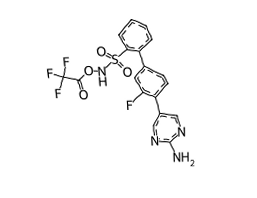 Nc1ncc(-c2ccc(-c3ccccc3S(=O)(=O)NOC(=O)C(F)(F)F)cc2F)cn1